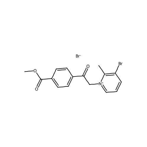 COC(=O)c1ccc(C(=O)C[n+]2cccc(Br)c2C)cc1.[Br-]